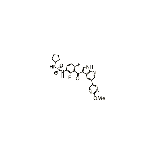 COc1ncc(-c2cnc3[nH]cc(C(=O)c4c(F)ccc(NS(=O)(=O)NC5CCCC5)c4F)c3c2)cn1